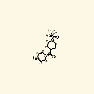 CS(=O)(=O)N1CCC(C(=O)N2CCNCC2)CC1